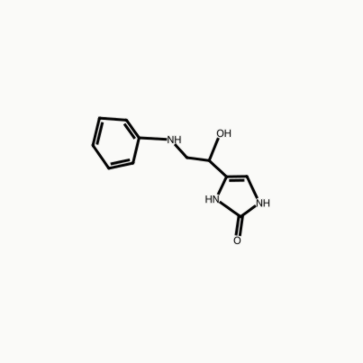 O=c1[nH]cc(C(O)CNc2ccccc2)[nH]1